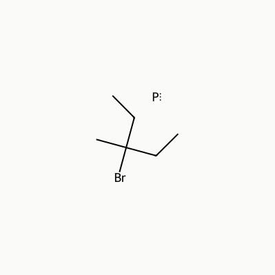 CCC(C)(Br)CC.[P]